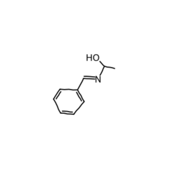 CC(O)N=Cc1ccccc1